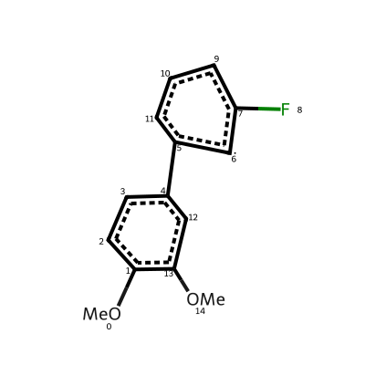 COc1ccc(-c2[c]c(F)ccc2)cc1OC